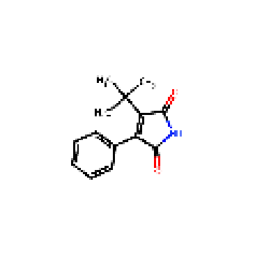 CC(C)(C)C1=C(c2ccccc2)C(=O)NC1=O